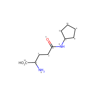 NC(CCC(=O)NC1CCCC1)C(=O)O